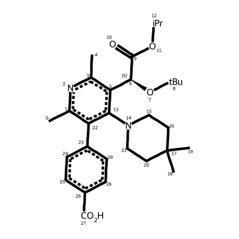 Cc1nc(C)c([C@H](OC(C)(C)C)C(=O)OC(C)C)c(N2CCC(C)(C)CC2)c1-c1ccc(C(=O)O)cc1